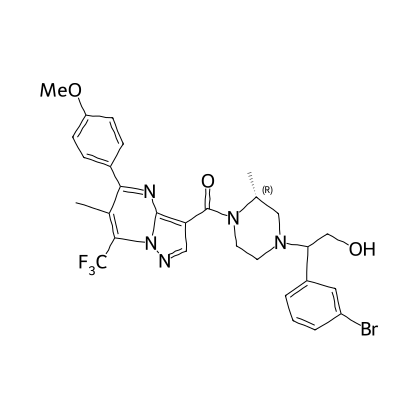 COc1ccc(-c2nc3c(C(=O)N4CCN(C(CO)c5cccc(Br)c5)C[C@H]4C)cnn3c(C(F)(F)F)c2C)cc1